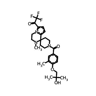 Cc1cc(C(=O)N2CCC3(CC2)c2ccc(C(=O)C(F)(F)F)n2CCN3C)ccc1OCC(C)(C)O